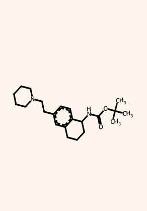 CC(C)(C)OC(=O)NC1CCCc2cc(CCN3CCCCC3)ccc21